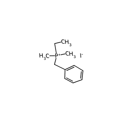 CC[P+](C)(C)Cc1ccccc1.[I-]